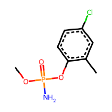 COP(N)(=O)Oc1ccc(Cl)cc1C